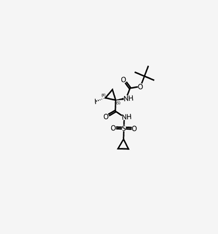 CC(C)(C)OC(=O)N[C@]1(C(=O)NS(=O)(=O)C2CC2)C[C@H]1I